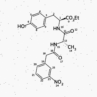 CCOC(=O)[C@H](Cc1ccc(O)cc1)NC(=O)[C@H](C)NC(=O)Cc1cccc([N+](=O)[O-])c1